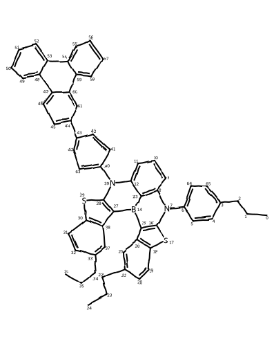 CCCc1ccc(N2c3cccc4c3B(c3c2sc2ccc(CCC)cc32)c2c(sc3ccc(CCC)cc23)N4c2ccc(-c3ccc4c5ccccc5c5ccccc5c4c3)cc2)cc1